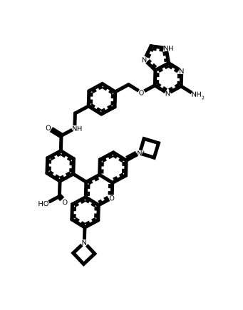 Nc1nc(OCc2ccc(CNC(=O)c3ccc(C(=O)O)c(-c4c5ccc(=[N+]6CCC6)cc-5oc5cc(N6CCC6)ccc45)c3)cc2)c2nc[nH]c2n1